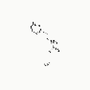 N#CCCSC(=S)NCCc1cccnc1